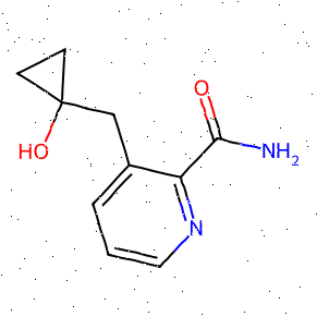 NC(=O)c1ncccc1CC1(O)CC1